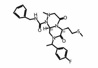 CSCC[C@H]1C(=O)N(C(C)c2ccc(F)cc2)C[C@H]2N1C(=O)CN(C)N2C(=O)NCc1ccccc1